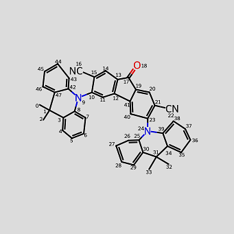 CC1(C)c2ccccc2N(c2cc3c(cc2C#N)C(=O)c2cc(C#N)c(N4c5ccccc5C(C)(C)c5ccccc54)cc2-3)c2ccccc21